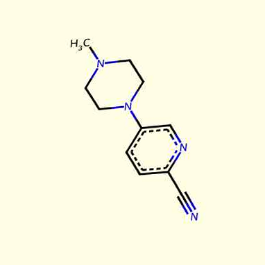 CN1CCN(c2ccc(C#N)nc2)CC1